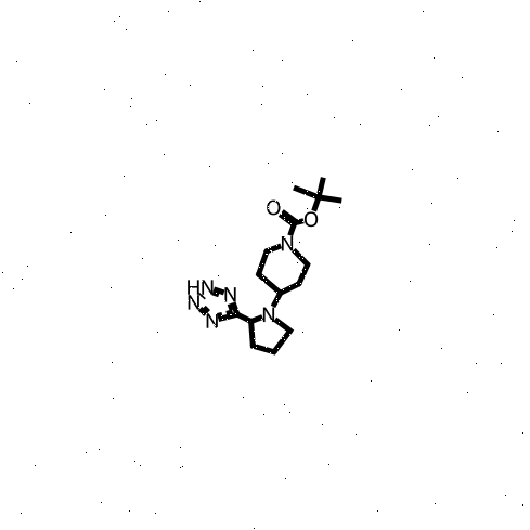 CC(C)(C)OC(=O)N1CCC(N2CCCC2c2nn[nH]n2)CC1